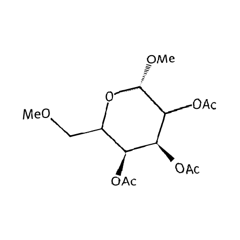 COCC1O[C@H](OC)C(OC(C)=O)[C@@H](OC(C)=O)[C@H]1OC(C)=O